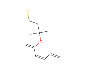 C=C/C=C\C(=C)OC(C)(C)CCS